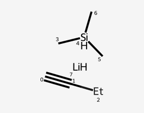 C#CCC.C[SiH](C)C.[LiH]